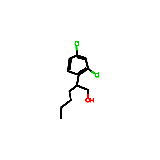 CCCCC(CO)c1ccc(Cl)cc1Cl